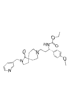 CCOC(=O)NC(CCN1CCC2(CC1)CCN(Cc1cccnc1)C2=O)c1ccc(OC)cc1